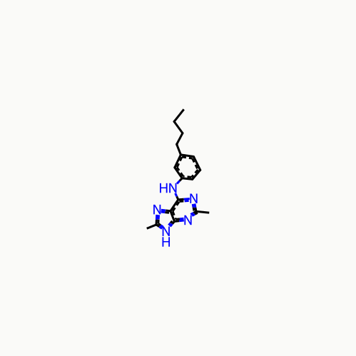 CCCCc1cccc(Nc2nc(C)nc3[nH]c(C)nc23)c1